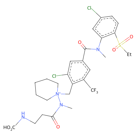 CCS(=O)(=O)c1ccc(Cl)cc1N(C)C(=O)c1cc(Cl)c(C[N+]2(N(C)C(=O)CCNC(=O)O)CCCCC2)c(C(F)(F)F)c1